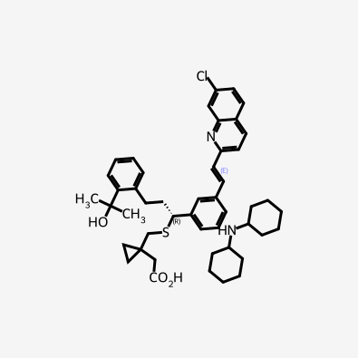 C1CCC(NC2CCCCC2)CC1.CC(C)(O)c1ccccc1CC[C@@H](SCC1(CC(=O)O)CC1)c1cccc(/C=C/c2ccc3ccc(Cl)cc3n2)c1